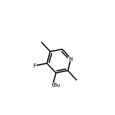 Cc1cnc(C)c(C(C)(C)C)c1F